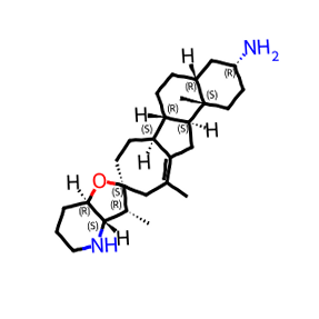 CC1=C2C[C@H]3[C@@H](CC[C@@H]4C[C@H](N)CC[C@@]43C)[C@@H]2CC[C@@]2(C1)O[C@@H]1CCCN[C@H]1[C@H]2C